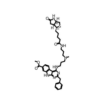 COC(=O)c1ccc2c(c1)[nH]c1nc(Cc3ccccc3)nc(NCCCN(C)CCCNC(=O)CCCC[C@@H]3SC[C@@H]4NC(=O)C[C@@H]43)c12